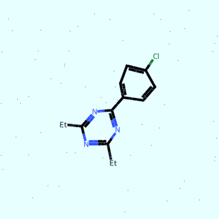 CCc1nc(CC)nc(-c2ccc(Cl)cc2)n1